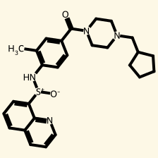 Cc1cc(C(=O)N2CCN(CC3CCCC3)CC2)ccc1N[S+]([O-])c1cccc2cccnc12